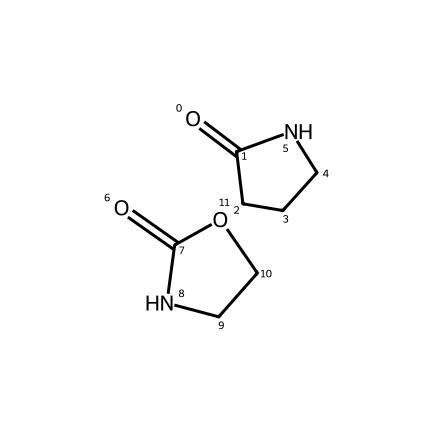 O=C1CCCN1.O=C1NCCO1